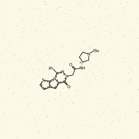 CC(C)c1nn(CC(=O)N[C@@H]2CCN(C(C)(C)C)C2)c(=O)c2cc3ccsc3n12